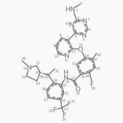 CNc1ncnc(-c2cccnc2Oc2cc(C(=O)Nc3cc(C(F)(F)F)ccc3C(C)[C@H]3CCN(C)C3)c(F)cc2C)n1